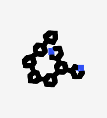 c1ccc(-c2ccc(-c3cccc(-c4cccc(-c5cccc(-c6cc(-c7cccnc7)cc(-c7cccnc7)c6)c5)c4)c3)cc2)cc1